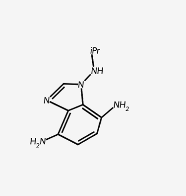 CC(C)Nn1cnc2c(N)ccc(N)c21